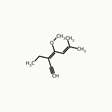 C#C/C(CC)=C(\C=C(C)C)OC